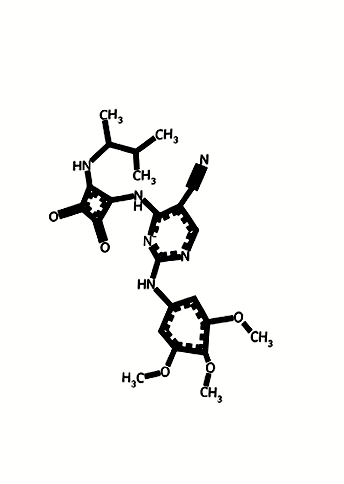 COc1cc(Nc2ncc(C#N)c(Nc3c(NC(C)C(C)C)c(=O)c3=O)n2)cc(OC)c1OC